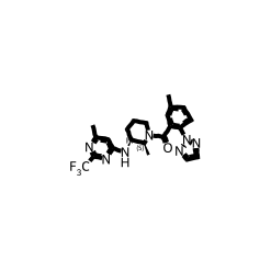 Cc1ccc(-n2nccn2)c(C(=O)N2CCC[C@@H](Nc3cc(C)nc(C(F)(F)F)n3)[C@@H]2C)c1